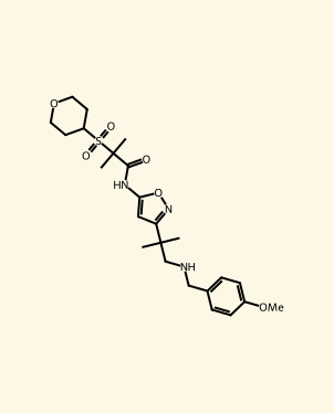 COc1ccc(CNCC(C)(C)c2cc(NC(=O)C(C)(C)S(=O)(=O)C3CCOCC3)on2)cc1